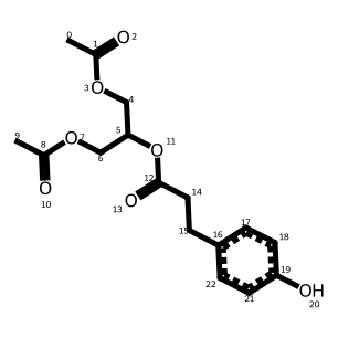 CC(=O)OCC(COC(C)=O)OC(=O)CCc1ccc(O)cc1